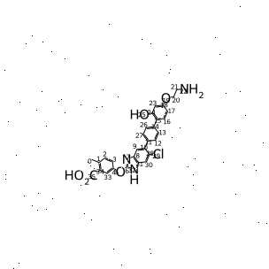 Cc1ccc(Oc2nc3cc(-c4ccc(-c5ccc(OCCN)cc5O)cc4)c(Cl)cc3[nH]2)cc1C(=O)O